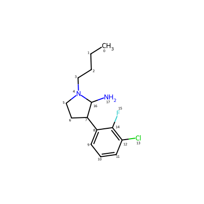 CCCCN1CCC(c2cccc(Cl)c2F)C1N